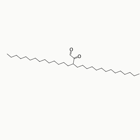 CCCCCCCCCCCCCCC(CCCCCCCCCCCCCC)C(=O)C=O